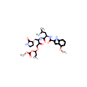 CCC(OCC(=O)C(C[C@@H]1CCNC1=O)NC(=O)C(CC(C)C)NC(=O)c1cc2c(OC)cccc2[nH]1)OC(=O)OC